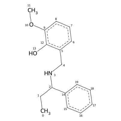 CCC(NCc1cccc(OC)c1O)c1ccccc1